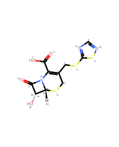 O=C(O)C1=C(CSc2ncns2)CS[C@@H]2[C@H](O)C(=O)N12